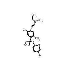 CCN(C)C=Nc1cc(C)c(C2(Oc3ccc(Cl)cn3)COC2)cc1Cl